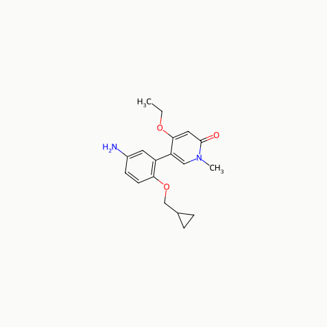 CCOc1cc(=O)n(C)cc1-c1cc(N)ccc1OCC1CC1